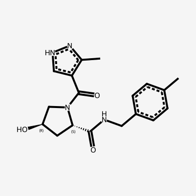 Cc1ccc(CNC(=O)[C@@H]2C[C@@H](O)CN2C(=O)c2c[nH]nc2C)cc1